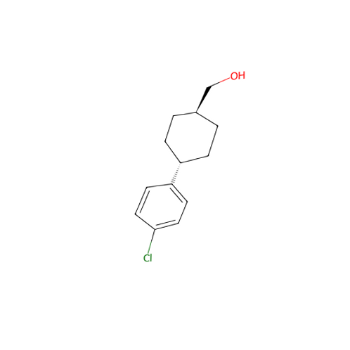 OC[C@H]1CC[C@H](c2ccc(Cl)cc2)CC1